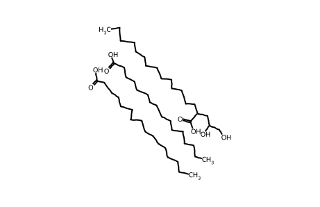 CCCCCCCCCCCCCCC(CC(O)CO)C(=O)O.CCCCCCCCCCCCCCCC(=O)O.CCCCCCCCCCCCCCCC(=O)O